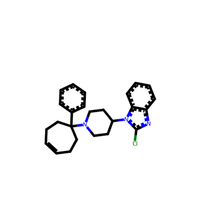 Clc1nc2ccccc2n1C1CCN(C2(c3ccccc3)CCC=CCC2)CC1